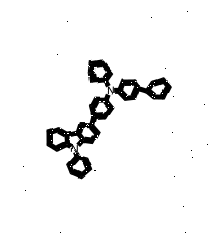 c1ccc(-c2ccc(N(c3ccccc3)c3ccc(-c4ccc5c(c4)c4ccccc4n5-c4ccccc4)cc3)cc2)cc1